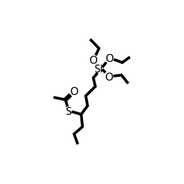 CCCC(CCCC[Si](OCC)(OCC)OCC)SC(C)=O